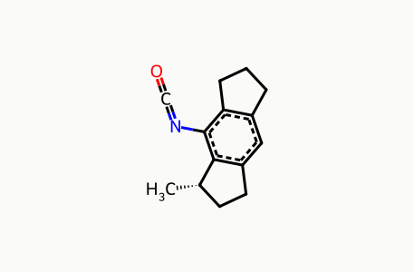 C[C@H]1CCc2cc3c(c(N=C=O)c21)CCC3